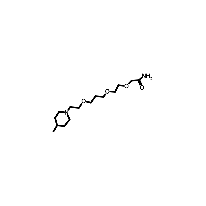 CC1CCN(CCOCCCOCCOCC(N)=O)CC1